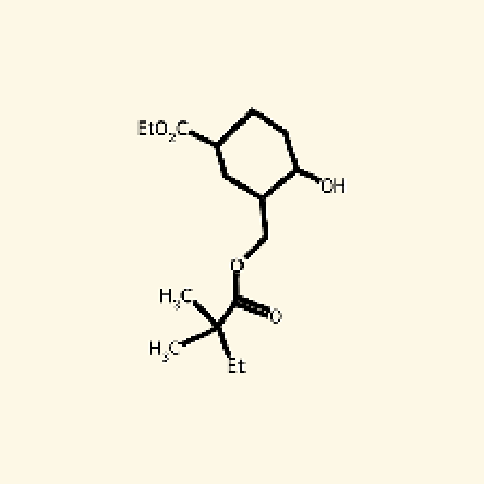 CCOC(=O)C1CCC(O)C(COC(=O)C(C)(C)CC)C1